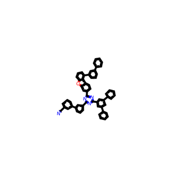 N#Cc1cccc(-c2cccc(-c3nc(-c4cc(-c5ccccc5)cc(-c5ccccc5)c4)nc(-c4ccc5c(c4)oc4cccc(-c6cccc(-c7ccccc7)c6)c45)n3)c2)c1